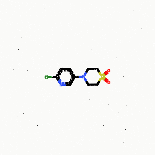 O=S1(=O)CCN(c2ccc(Cl)nc2)CC1